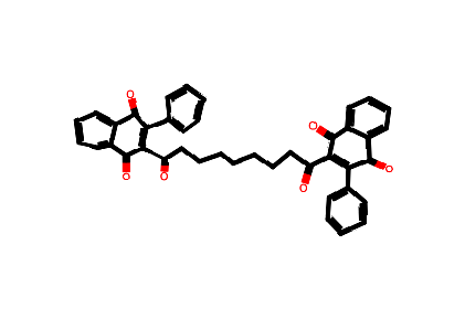 O=C(CCCCCCCC(=O)C1=C(c2ccccc2)C(=O)c2ccccc2C1=O)C1=C(c2ccccc2)C(=O)c2ccccc2C1=O